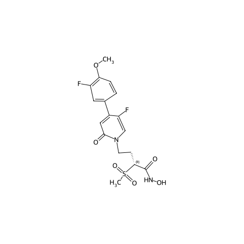 COc1ccc(-c2cc(=O)n(CC[C@H](C(=O)NO)S(C)(=O)=O)cc2F)cc1F